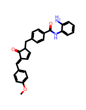 COc1ccc(/C=C2\C=CC(Cc3ccc(C(=O)Nc4ccccc4N)cc3)C2=O)cc1